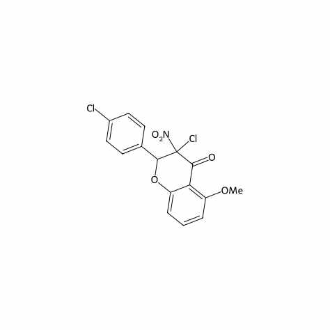 COc1cccc2c1C(=O)C(Cl)([N+](=O)[O-])C(c1ccc(Cl)cc1)O2